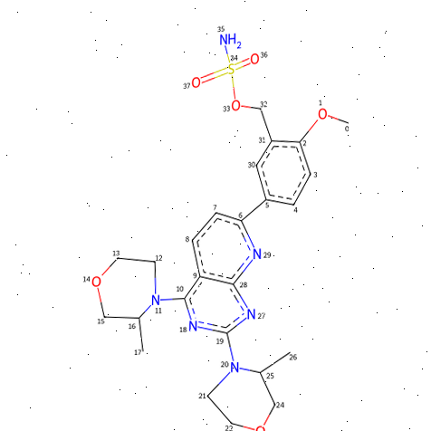 COc1ccc(-c2ccc3c(N4CCOCC4C)nc(N4CCOCC4C)nc3n2)cc1COS(N)(=O)=O